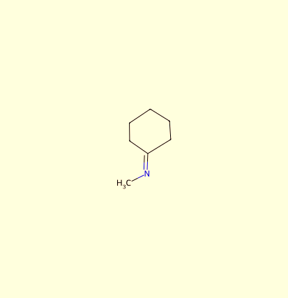 CN=C1CCCCC1